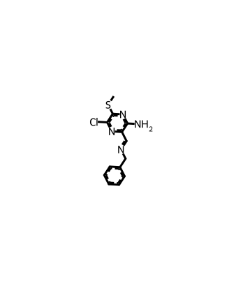 CSc1nc(N)c(/C=N/Cc2ccccc2)nc1Cl